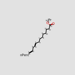 CCCCCC=CCC=CCCCCCCCC(=O)OC(C)C